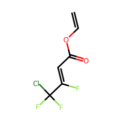 C=COC(=O)C=C(F)C(F)(F)Cl